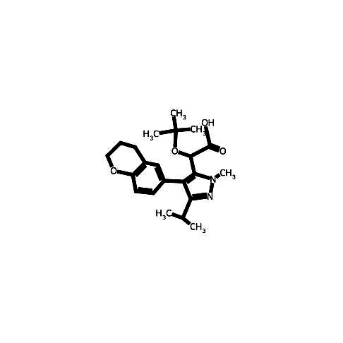 CC(C)c1nn(C)c(C(OC(C)(C)C)C(=O)O)c1-c1ccc2c(c1)CCCO2